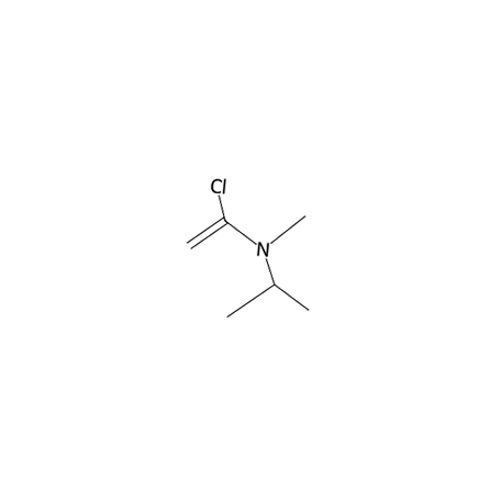 C=C(Cl)N(C)C(C)C